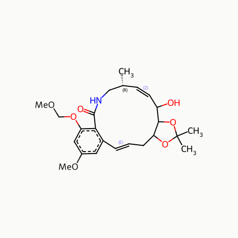 COCOc1cc(OC)cc2c1C(=O)NC[C@H](C)/C=C\C(O)C1OC(C)(C)OC1C/C=C/2